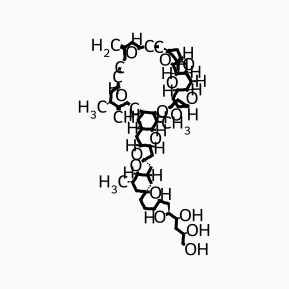 C=C1C[C@@H]2CC[C@@]34C[C@@H]5O[C@@H]6[C@@H](O[C@H]7CC[C@H](CC(=O)O[C@H]8[C@H](CC9O[C@@H](CCC1O2)C[C@@H](C)C9=C)C[C@H]1C[C@H]2O[C@@]9(C[C@@H]%10C[C@]%11(CC[C@@H]%12O[C@H]([C@H](O)C[C@H](O)CO)C[C@@H]%12O%11)C[C@H](C)[C@@H]%10O9)C[C@H]2O[C@H]1[C@@H]8C)O[C@@H]7[C@@H]6O3)[C@H]5O4